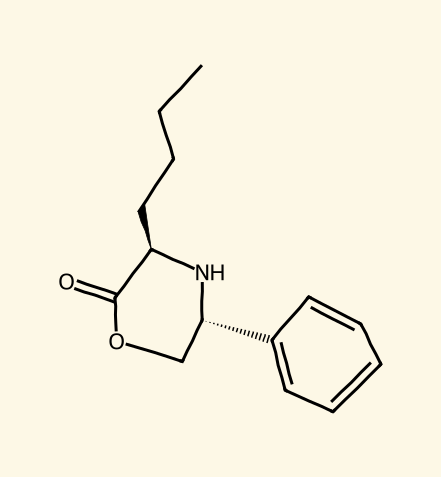 CCCC[C@H]1N[C@H](c2ccccc2)COC1=O